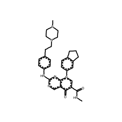 CNC(=O)c1cn(-c2ccc3c(c2)CCC3)c2nc(Nc3ccc(CCN4CCN(C)CC4)cc3)ncc2c1=O